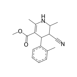 COC(=O)C1=C(C)NC(C)C(C#N)C1c1ccccc1C